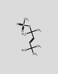 CC(=O)OC(C)(C)C=CC(C)(C)OS(C)(=O)=O